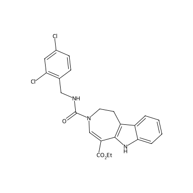 CCOC(=O)C1=CN(C(=O)NCc2ccc(Cl)cc2Cl)CCc2c1[nH]c1ccccc21